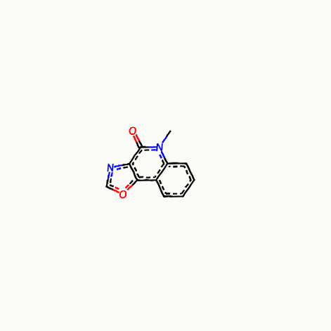 Cn1c(=O)c2ncoc2c2ccccc21